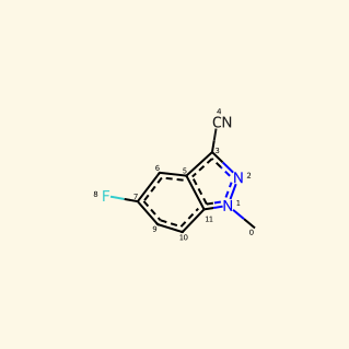 Cn1nc(C#N)c2cc(F)ccc21